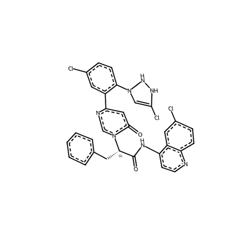 O=C(Nc1ccnc2ccc(Cl)cc12)[C@H](Cc1ccccc1)n1cnc(-c2cc(Cl)ccc2N2C=C(Cl)NN2)cc1=O